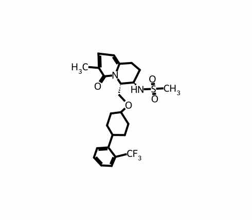 Cc1ccc2n(c1=O)[C@@H](COC1CCC(c3ccccc3C(F)(F)F)CC1)[C@@H](NS(C)(=O)=O)CC2